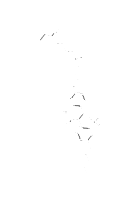 C=C(C)C(=O)OCCCC(F)(F)CCCOc1ccc(/C=C(\C=O)c2ccc(CCCCC)cc2C(F)(F)F)c(OC)c1